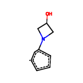 OC1CN(c2c[c]ccc2)C1